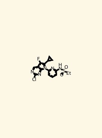 CCS(=O)(=O)Nc1cccc(-n2c(C3CC3)c(F)c3cnc(Cl)nc32)n1